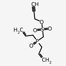 C#CCOS(=O)(=O)CP(=O)(CC=C)CC=C